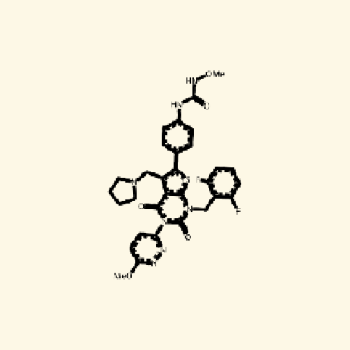 CONC(=O)Nc1ccc(-c2sc3c(c2CN2CCCC2)c(=O)n(-c2ccc(OC)nn2)c(=O)n3Cc2c(F)cccc2F)cc1